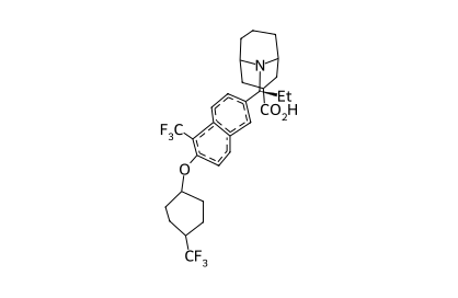 CC[C@@H](c1ccc2c(C(F)(F)F)c(OC3CCC(C(F)(F)F)CC3)ccc2c1)N1C2CCCC1CC(C(=O)O)C2